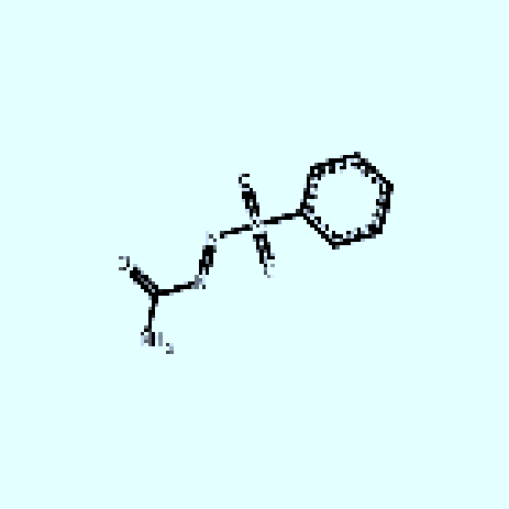 NC(=O)N=NS(=O)(=O)c1ccccc1